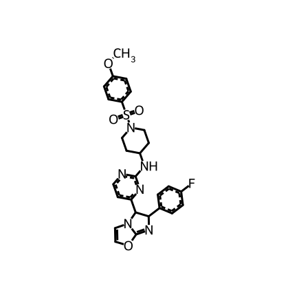 COc1ccc(S(=O)(=O)N2CCC(Nc3nccc(C4C(c5ccc(F)cc5)N=C5OC=CN54)n3)CC2)cc1